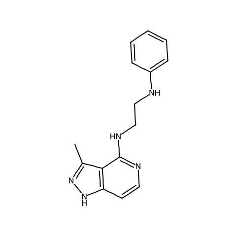 Cc1n[nH]c2ccnc(NCCNc3ccccc3)c12